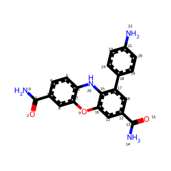 NC(=O)c1ccc2c(c1)Oc1cc(C(N)=O)cc(-c3ccc(N)cc3)c1N2